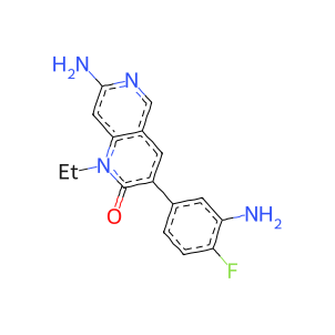 CCn1c(=O)c(-c2ccc(F)c(N)c2)cc2cnc(N)cc21